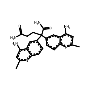 Cc1cc(N)c2cc(C(CCC(N)=O)(C(N)=O)c3ccc4nc(C)cc(N)c4c3)ccc2n1